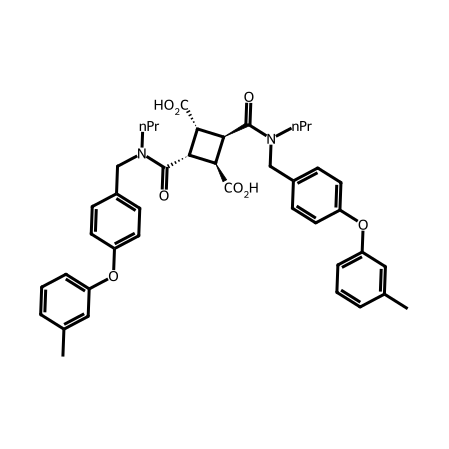 CCCN(Cc1ccc(Oc2cccc(C)c2)cc1)C(=O)[C@H]1[C@H](C(=O)O)[C@H](C(=O)N(CCC)Cc2ccc(Oc3cccc(C)c3)cc2)[C@H]1C(=O)O